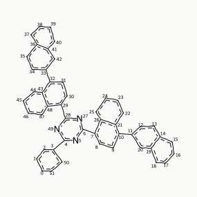 c1ccc(-c2nc(-c3ccc(-c4ccc5ccccc5c4)c4ccccc34)nc(-c3ccc(-c4ccc5ccccc5c4)c4ccccc34)n2)cc1